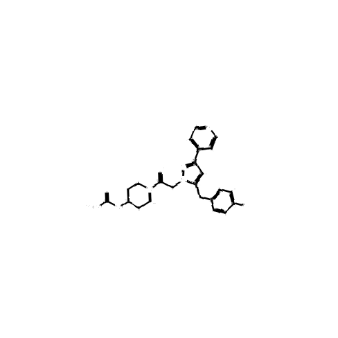 CNC(=O)NC1CCN(C(=O)Cn2nc(-c3ccncc3)cc2Cc2ccc(F)cc2)CC1